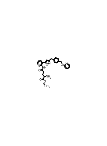 CCOC(=O)C(N)CCC(=O)Nc1ncccc1-c1cc(Cc2ccc(COc3ccccn3)cc2)no1